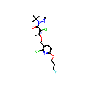 C=NN(C(=O)/C(Cl)=C(\C)OCc1ccc(OCCCF)nc1Cl)C(C)(C)C